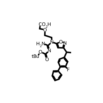 CC(c1ccc(-c2ccccc2)c(F)c1)c1cc(N(CCOCC(=O)O)C(N)=NC(=O)OC(C)(C)C)on1